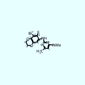 CNc1cc(C)nc(Nc2cc3c(c(Br)c2F)OCCO3)n1